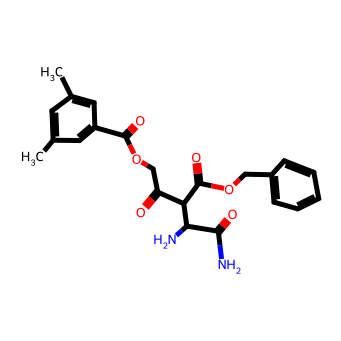 Cc1cc(C)cc(C(=O)OCC(=O)C(C(=O)OCc2ccccc2)C(N)C(N)=O)c1